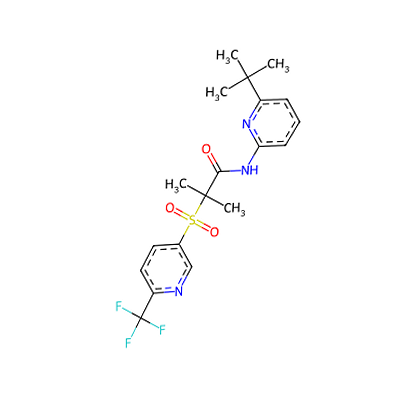 CC(C)(C)c1cccc(NC(=O)C(C)(C)S(=O)(=O)c2ccc(C(F)(F)F)nc2)n1